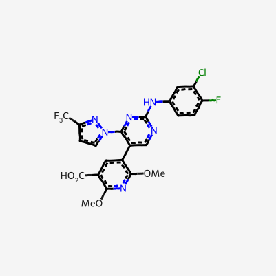 COc1nc(OC)c(-c2cnc(Nc3ccc(F)c(Cl)c3)nc2-n2ccc(C(F)(F)F)n2)cc1C(=O)O